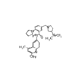 Cc1cc(O)nc2ccc(NC(=O)c3cc(CN4CCC(N(C)C)C4)ccc3N3CCCC3)cc12